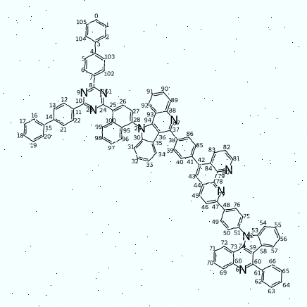 c1ccc(-c2ccc(-c3nc(-c4ccc(-c5ccccc5)cc4)nc(-c4ccc(-n5c6ccccc6c6c(-c7ccc(-c8cc9ccc(-c%10ccc(-n%11c%12ccccc%12c%12c(-c%13ccccc%13)nc%13ccccc%13c%12%11)cc%10)nc9c9ncccc89)cc7)nc7ccccc7c65)c5ccccc45)n3)cc2)cc1